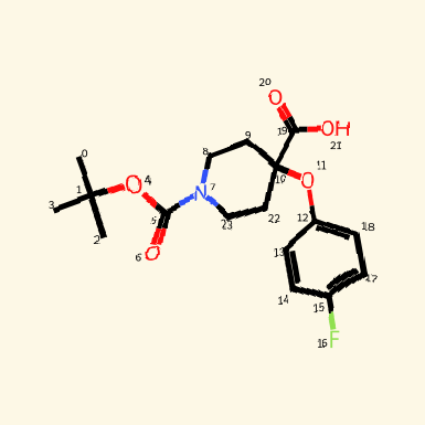 CC(C)(C)OC(=O)N1CCC(Oc2ccc(F)cc2)(C(=O)O)CC1